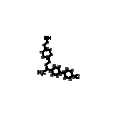 CC(CCN1CCN(CCO)CC1)c1ccc(-c2ccc(Cl)cc2)cc1